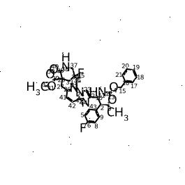 CC[C@@H](c1ccc(F)cc1)C(NC(=O)OCc1ccccc1)c1cn2nc(CC3(C(=O)OC)CC(F)(F)CNC3=O)ccc2n1